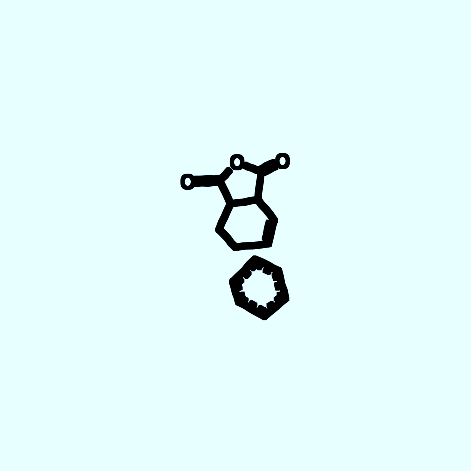 O=C1OC(=O)C2CCC=CC12.c1ccccc1